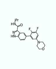 CC(C)NC(=O)c1n[nH]c2ccc(-c3cc(N4CCOCC4)cc(F)c3F)cc12